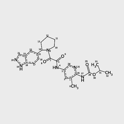 Cc1cc(NC(=O)C(=O)N2CCCCC2c2ccc3[nH]ncc3c2)cnc1NC(=O)OC(C)C